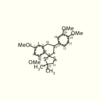 COc1cc2c(c(OC)c1)C1(CC(c3ccc(OC)c(OC)c3)C2)SCC(C)(C)S1